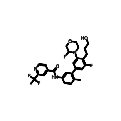 Cc1ccc(NC(=O)c2ccnc(C(C)(F)F)c2)cc1-c1cc(F)c(CCCO)c(N2CCOCC2F)c1